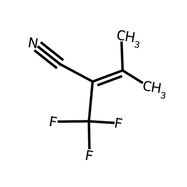 CC(C)=C(C#N)C(F)(F)F